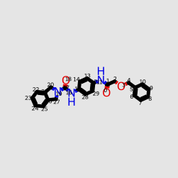 O=C(COCc1ccccc1)Nc1ccc(NC(=O)N2Cc3ccccc3C2)cc1